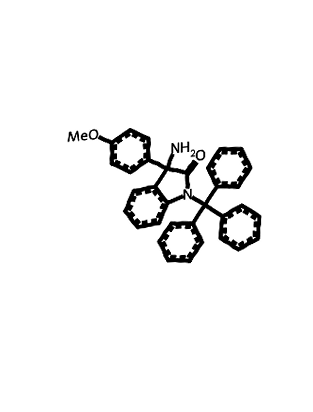 COc1ccc(C2(N)C(=O)N(C(c3ccccc3)(c3ccccc3)c3ccccc3)c3ccccc32)cc1